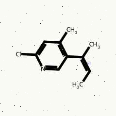 C/C=C(/C)c1cnc(Cl)cc1C